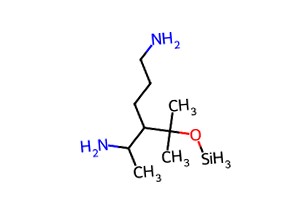 CC(N)C(CCCN)C(C)(C)O[SiH3]